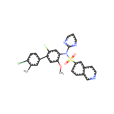 COc1cc(-c2ccc(Cl)c(C)c2)c(F)cc1N(c1ncccn1)S(=O)(=O)c1ccc2cnccc2c1